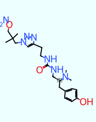 CN(C)[C@H](CNC(=O)NCCc1cn(CC(C)(C)CON)nn1)Cc1ccc(O)cc1